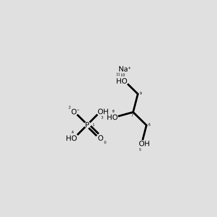 O=P([O-])(O)O.OCC(O)CO.[Na+]